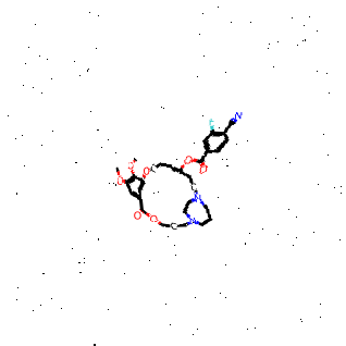 COc1cc2cc(c1OC)OCCCC(OC(=O)c1ccc(C#N)c(F)c1)CCN1CCCN(CCCOC2=O)CC1